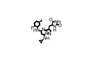 O=C1NC(=O)/C(=C/c2cnn3c(NC4CC4)cc(Nc4cc(I)ccc4F)nc23)N1